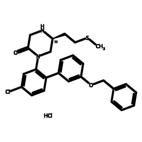 CSCC[C@H]1CN(c2cc(Cl)ccc2-c2cccc(OCc3ccccc3)c2)C(=O)CN1.Cl